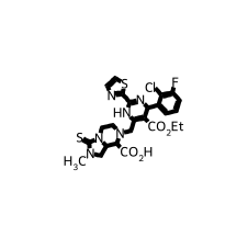 CCOC(=O)C1=C(CN2CCN3C(=S)N(C)CC3C2C(=O)O)NC(c2nccs2)=NC1c1cccc(F)c1Cl